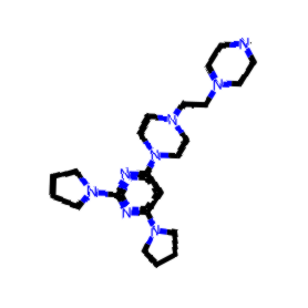 c1c(N2CCCC2)nc(N2CCCC2)nc1N1CCN(CCN2CC[N]CC2)CC1